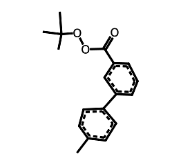 Cc1ccc(-c2cccc(C(=O)OOC(C)(C)C)c2)cc1